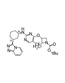 CC1C(Oc2nc(N[C@@H]3CCC[C@H](c4nnc5ccccn45)C3)ncc2C(F)(F)F)CN1C(=O)OC(C)(C)C